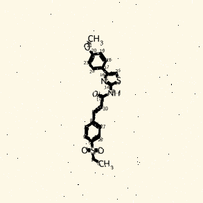 CCS(=O)(=O)c1ccc(C=CC(=O)Nc2nc(-c3ccc(OC)cc3)cs2)cc1